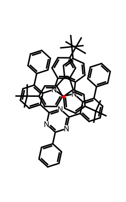 CC(C)(C)c1ccc2c(c1)c1cc(C(C)(C)C)ccc1n2-c1c(-c2ccccc2)cccc1-c1nc(-c2ccccc2)nc(-c2cccc(-c3ccccc3)c2-n2c3ccc(C(C)(C)C)cc3c3cc(C(C)(C)C)ccc32)n1